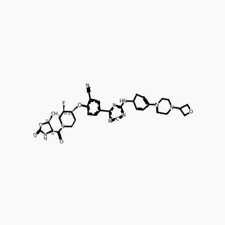 C[C@@H]1OC(=O)N[C@@H]1C(=O)N1CC[C@H](Oc2ccc(-c3ncnc(NC4C=CC(N5CCN(C6COC6)CC5)=CC4)n3)cc2C#N)[C@H](F)C1